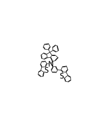 c1ccc(C2(c3ccccc3)c3ccccc3-c3c(N(c4cccc(-c5cccc6c5sc5ccccc56)c4)c4cccc5c4sc4ccccc45)cccc32)cc1